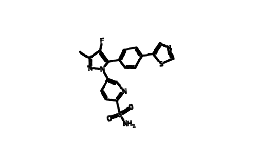 Cc1nn(-c2ccc(S(N)(=O)=O)nc2)c(-c2ccc(-c3cncs3)cc2)c1F